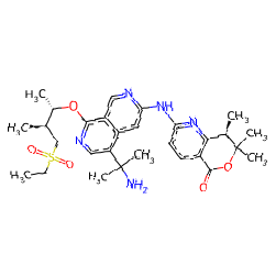 CCS(=O)(=O)C[C@@H](C)[C@H](C)Oc1ncc(C(C)(C)N)c2cc(Nc3ccc4c(n3)[C@@H](C)C(C)(C)OC4=O)ncc12